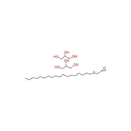 CCCCCCCCCCCCCCCCCCOCC1CO1.OCC(O)CO.OCC(O)CO